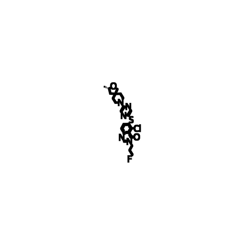 C[C@H]1CC2(CCN(c3cnc(Sc4ccc5ncn(CCCF)c(=O)c5c4Cl)cn3)CC2)CO1